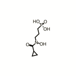 O=C(C1CC1)N(O)CCCP(=O)(O)O